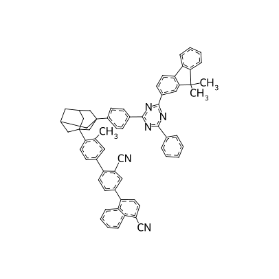 Cc1cc(-c2ccc(-c3ccc(C#N)c4ccccc34)cc2C#N)ccc1C12CC3CC(CC(c4ccc(-c5nc(-c6ccccc6)nc(-c6ccc7c(c6)C(C)(C)c6ccccc6-7)n5)cc4)(C3)C1)C2